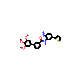 COc1cc(-c2cccc(C(=O)Nc3cc(-c4cccs4)ccc3N)c2)cc(OC)c1OC